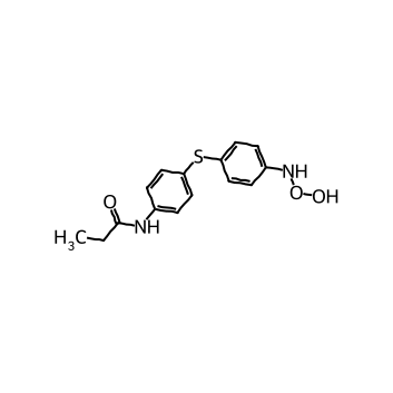 CCC(=O)Nc1ccc(Sc2ccc(NOO)cc2)cc1